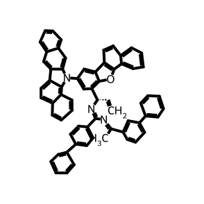 C=C[C@H](/N=C(\N=C(/C)c1cccc(-c2ccccc2)c1)c1ccc(-c2ccccc2)cc1)c1cc(-n2c3cc4ccccc4cc3c3ccc4ccccc4c32)cc2c1oc1c3ccccc3ccc21